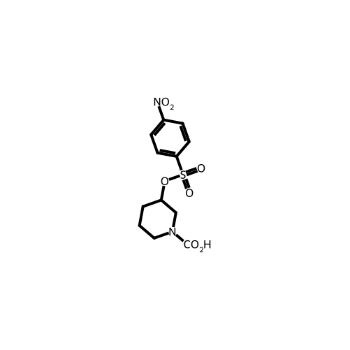 O=C(O)N1CCCC(OS(=O)(=O)c2ccc([N+](=O)[O-])cc2)C1